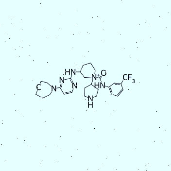 O=C(Nc1cccc(C(F)(F)F)c1)[N+]1(C2CCNCC2)CCCC(Nc2nccc(N3CCCCCC3)n2)C1